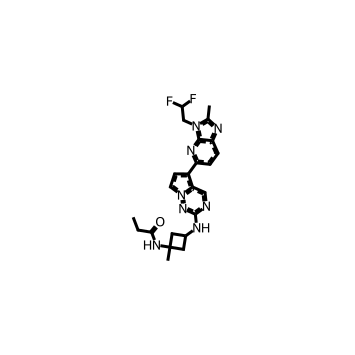 CCC(=O)NC1(C)CC(Nc2ncc3c(-c4ccc5nc(C)n(CC(F)F)c5n4)ccn3n2)C1